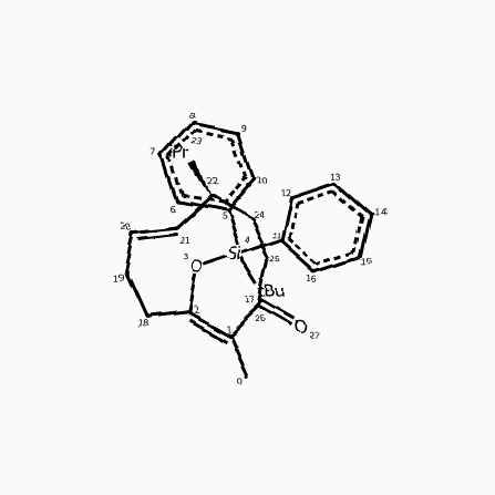 C/C1=C(/O[Si](c2ccccc2)(c2ccccc2)C(C)(C)C)CC/C=C/[C@@H](C(C)C)CCC1=O